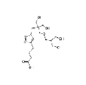 O=C(O)CCCc1cn(CC(CO)(CO)COCC(CO)CO)nn1